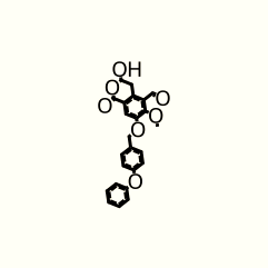 COc1c(OCc2ccc(Oc3ccccc3)cc2)cc2c(c1C=O)CC(O)OC2=O